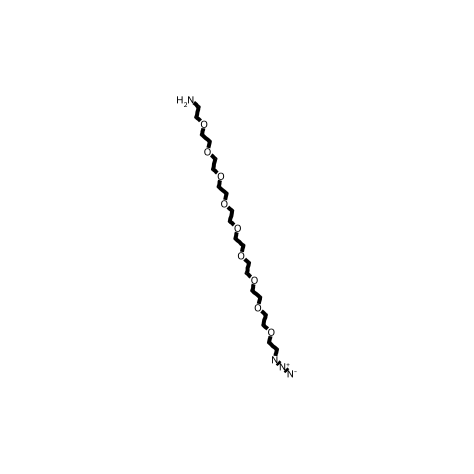 [N-]=[N+]=NCCOCCOCCOCCOCCOCCOCCOCCOCCOCCN